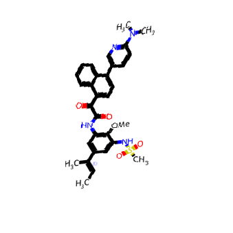 C/C=C(\C)c1cc(NC(=O)C(=O)c2ccc(-c3ccc(N(C)C)nc3)c3ccccc23)c(OC)c(NS(C)(=O)=O)c1